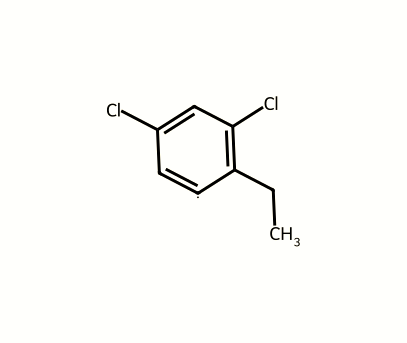 CCc1[c]cc(Cl)cc1Cl